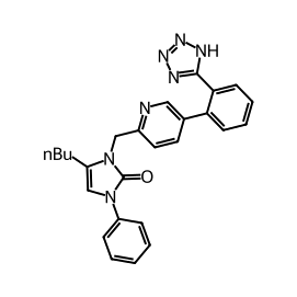 CCCCc1cn(-c2ccccc2)c(=O)n1Cc1ccc(-c2ccccc2-c2nnn[nH]2)cn1